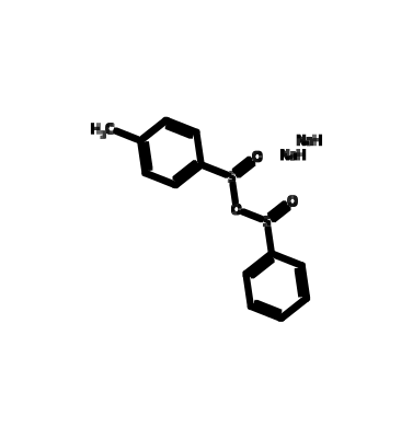 Cc1ccc(S(=O)OS(=O)c2ccccc2)cc1.[NaH].[NaH]